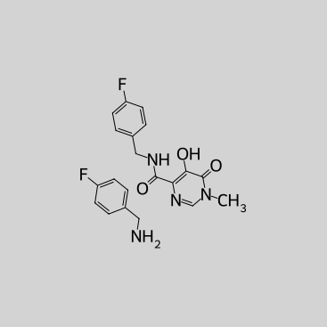 Cn1cnc(C(=O)NCc2ccc(F)cc2)c(O)c1=O.NCc1ccc(F)cc1